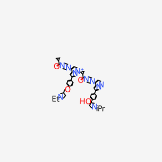 CCN1CCC(COc2ccc(-c3cc4c(N5CCN(C(=O)C6CC6)CC5)cc[n+](C5CC5C(=O)N5CCN(c6ccnn7cc(-c8ccc(C9(O)CCN(C(C)C)C9)cc8)cc67)CC5)n4c3)cc2)C1